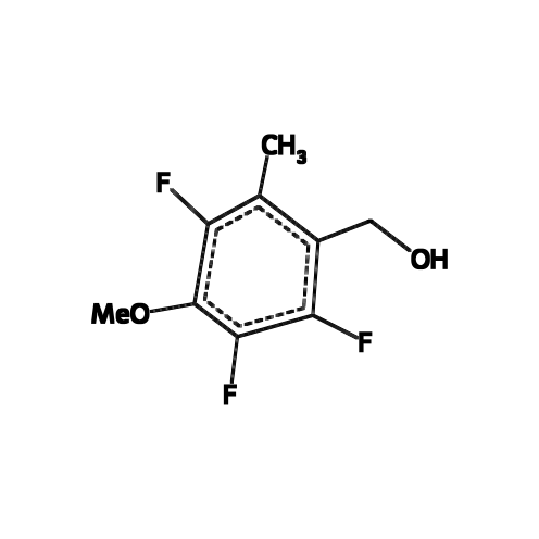 COc1c(F)c(C)c(CO)c(F)c1F